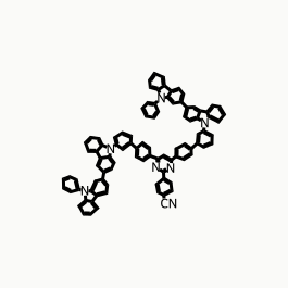 N#Cc1ccc(-c2nc(-c3ccc(-c4cccc(-n5c6ccccc6c6cc(-c7ccc8c9ccccc9n(-c9ccccc9)c8c7)ccc65)c4)cc3)cc(-c3ccc(-c4cccc(-n5c6ccccc6c6cc(-c7ccc8c9ccccc9n(-c9ccccc9)c8c7)ccc65)c4)cc3)n2)cc1